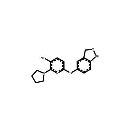 N#Cc1ccc(Oc2ccc3c(c2)COB3)nc1N1CCCC1